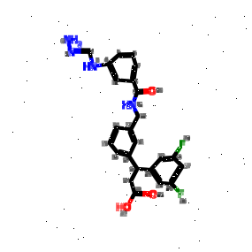 NN=CNc1cccc(C(=O)NCc2cccc(C(CC(=O)O)c3cc(F)cc(F)c3)c2)c1